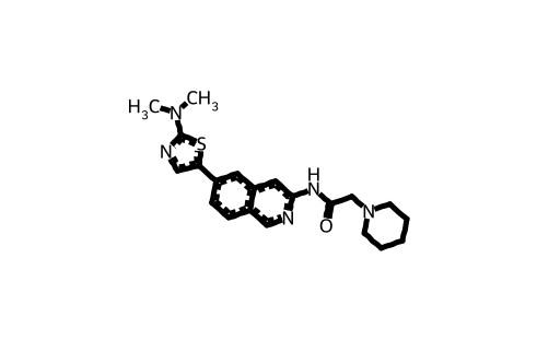 CN(C)c1ncc(-c2ccc3cnc(NC(=O)CN4CCCCC4)cc3c2)s1